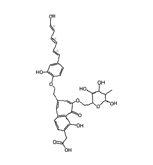 CC1C(O)OC(COc2cc(CCOc3ccc(/C=C/C=C/C=C/O)cc3O)cc3ccc(CC(=O)O)c(O)c3c2=O)C(O)C1O